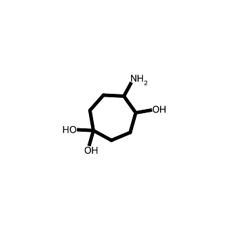 NC1CCC(O)(O)CCC1O